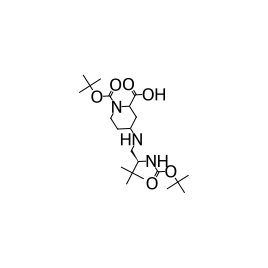 CC(C)(C)OC(=O)N[C@H](CNC1CCN(C(=O)OC(C)(C)C)C(C(=O)O)C1)C(C)(C)C